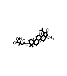 CC(C)C1=C2[C@H]3CCC4[C@@]5(C)CC[C@H](OC(=O)CC(C)(C)C(=O)O)C(C)(C)C5CC[C@@]4(C)[C@]3(C)CC[C@@]2(N)CC1=O